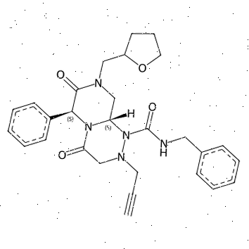 C#CCN1CC(=O)N2[C@@H](c3ccccc3)C(=O)N(CC3CCCO3)C[C@@H]2N1C(=O)NCc1ccccc1